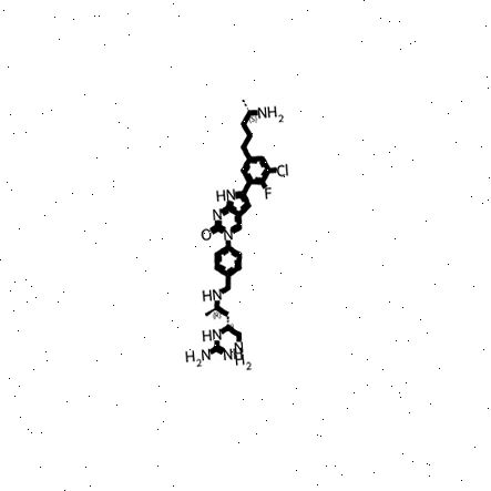 C[C@H](N)CCCc1cc(Cl)c(F)c(-c2cc3cn(-c4ccc(CN[C@H](C)C[C@H](CN)NC(=N)N)cc4)c(=O)nc3[nH]2)c1